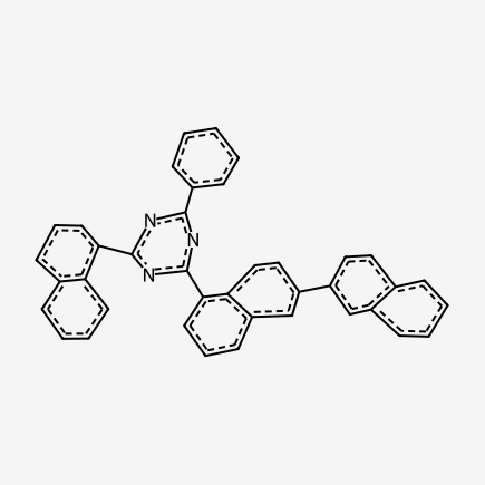 c1ccc(-c2nc(-c3cccc4ccccc34)nc(-c3cccc4cc(-c5ccc6ccccc6c5)ccc34)n2)cc1